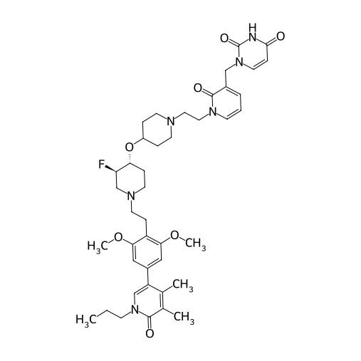 CCCn1cc(-c2cc(OC)c(CCN3CC[C@@H](OC4CCN(CCn5cccc(Cn6ccc(=O)[nH]c6=O)c5=O)CC4)[C@H](F)C3)c(OC)c2)c(C)c(C)c1=O